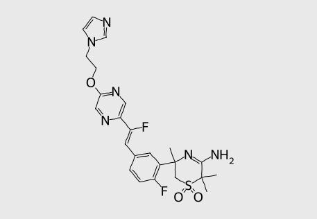 CC1(c2cc(C=C(F)c3cnc(OCCn4ccnc4)cn3)ccc2F)CS(=O)(=O)C(C)(C)C(N)=N1